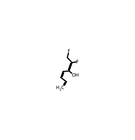 C=C/C=C\C(O)=C(\F)CF